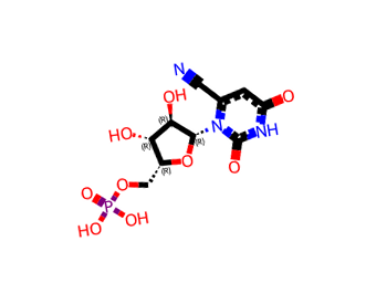 N#Cc1cc(=O)[nH]c(=O)n1[C@@H]1O[C@H](COP(=O)(O)O)[C@H](O)[C@H]1O